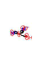 O=C(O)CCCC(C(=O)Oc1ccc([N+](=O)[O-])cc1)c1ccc([N+](=O)[O-])cc1